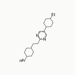 CCCC1CCC(CCc2ncc(C3CCC(CC)CC3)cn2)CC1